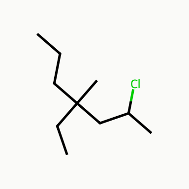 CCCC(C)(CC)CC(C)Cl